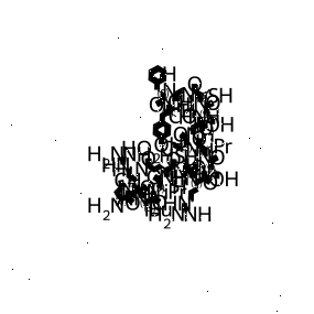 CC[C@H](C)[C@H](NC(=O)[C@H](CCCNC(=N)N)N1C(=O)[C@@H](N)CC1C)C(=O)N[C@H](C(=O)N[C@@H](CCC(N)=O)C(=O)N[C@@H](CS)C(=O)N[C@@H](CCCNC(=N)N)C(=O)N[C@@H](CO)C(=O)N[C@H](C(=O)N[C@@H](CCC(=O)O)C(=O)NCC(=O)N[C@@H](CO)C(=O)N[C@@H](CS)C(=O)NCC(=O)N[C@@H](Cc1ccccc1)C(=O)N[C@@H](Cc1ccc(O)cc1)C(=O)O)C(C)C)C(C)C